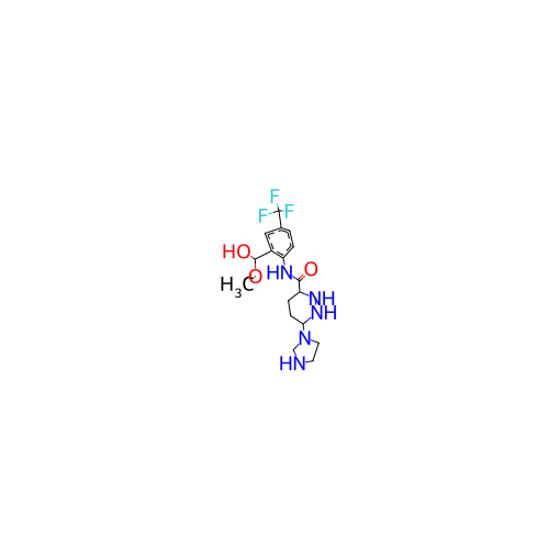 COC(O)c1cc(C(F)(F)F)ccc1NC(=O)C1CCC(N2CCNC2)NN1